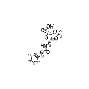 CC1(C)OC2C(C(=O)O)O[C@H](CNC(=O)OCc3ccccc3)C2O1